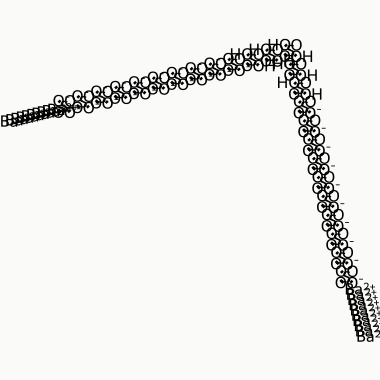 O=S(=O)(O)O.O=S(=O)(O)O.O=S(=O)(O)O.O=S(=O)(O)O.O=S(=O)(O)O.O=S(=O)([O-])[O-].O=S(=O)([O-])[O-].O=S(=O)([O-])[O-].O=S(=O)([O-])[O-].O=S(=O)([O-])[O-].O=S(=O)([O-])[O-].O=S(=O)([O-])[O-].O=S(=O)([O-])[O-].O=S(=O)([O-])[O-].O=S(=O)([O-])[O-].O=S(=O)([O-])[O-].O=S(=O)([O-])[O-].O=S(=O)([O-])[O-].O=S(=O)([O-])[O-].O=S(=O)([O-])[O-].O=S(=O)([O-])[O-].O=S(=O)([O-])[O-].O=S(=O)([O-])[O-].O=S(=O)([O-])[O-].O=S(=O)([O-])[O-].[Ba+2].[Ba+2].[Ba+2].[Ba+2].[Ba+2].[Ba+2].[Ba+2].[Ba+2].[Ba+2].[Ba+2].[Ba+2].[Ba+2].[Ba+2].[Ba+2].[Ba+2].[Ba+2].[Ba+2].[Ba+2].[Ba+2].[Ba+2]